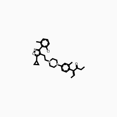 C/C=C(/C(=O)CC)c1ccc(N2CCN(CCc3c(-c4c(C)cccc4Cl)noc3C3CC3)CC2)cc1C